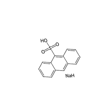 O=S(=O)(O)c1c2ccccc2cc2ccccc12.[NaH]